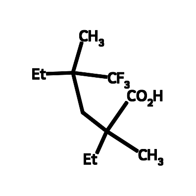 CCC(C)(CC(C)(CC)C(F)(F)F)C(=O)O